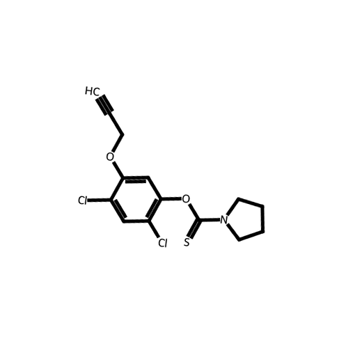 C#CCOc1cc(OC(=S)N2CCCC2)c(Cl)cc1Cl